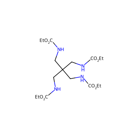 CCOC(=O)NCC(CNC(=O)OCC)(CNC(=O)OCC)CNC(=O)OCC